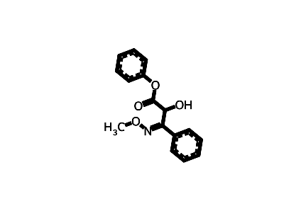 CON=C(c1ccccc1)C(O)C(=O)Oc1ccccc1